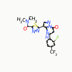 CN(C)C(=O)c1nnc(-c2cnn3c(=O)cc(-c4ccc(C(F)(F)F)cc4F)[nH]c23)s1